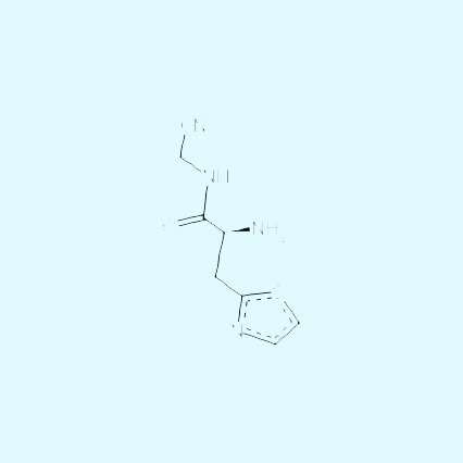 N#CCNC(=O)[C@@H](N)Cc1nccs1